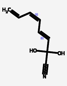 C=C/C=C\C=C\C(O)(O)C#N